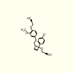 C#CCOc1ccc(CCN2C=CC2(OCC#C)c2ccc(Cl)cc2)cc1OC